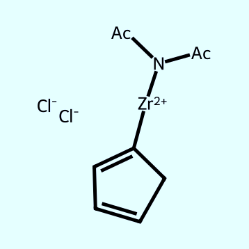 CC(=O)[N]([Zr+2][C]1=CC=CC1)C(C)=O.[Cl-].[Cl-]